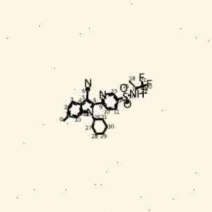 Cc1ccc2c(C#N)c(-c3ccc(S(=O)(=O)N[C@@H](C)C(F)(F)F)cn3)n(C3CCCCC3)c2c1